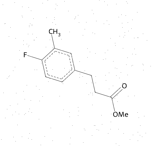 COC(=O)CCc1ccc(F)c(C)c1